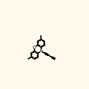 C#CC#CN1c2ccc(C)cc2Oc2cc(C)ccc21